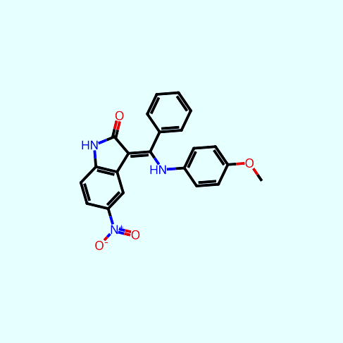 COc1ccc(NC(=C2C(=O)Nc3ccc([N+](=O)[O-])cc32)c2ccccc2)cc1